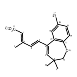 CCOC(=O)C=C(C)C=CC1=CC(C)(C)COc2ccc(CC)cc21